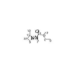 CCC(C)C(=O)N(C)N1CCC1C